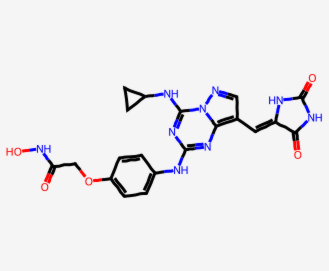 O=C(COc1ccc(Nc2nc(NC3CC3)n3ncc(C=C4NC(=O)NC4=O)c3n2)cc1)NO